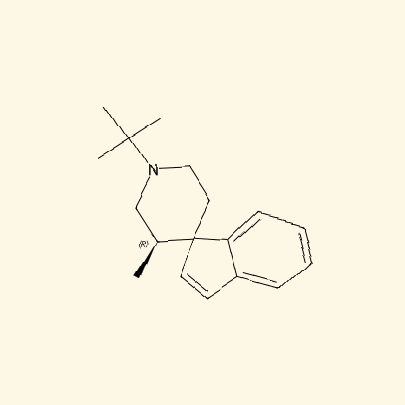 C[C@H]1CN(C(C)(C)C)CCC12C=Cc1ccccc12